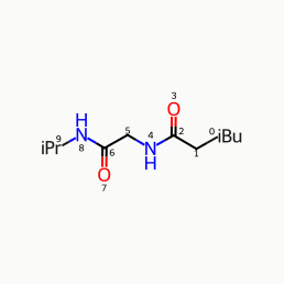 CCC(C)CC(=O)NCC(=O)NC(C)C